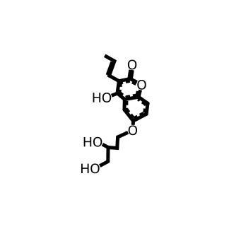 CC=Cc1c(O)c2cc(OCCC(O)CO)ccc2oc1=O